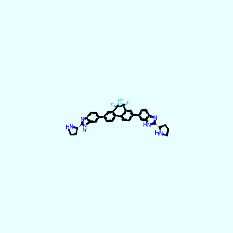 FC1(F)c2cc(-c3ccc4nc([C@@H]5CCCN5)[nH]c4c3)ccc2-c2ccc(-c3ccc4nc([C@@H]5CCCN5)[nH]c4c3)cc2C1(F)F